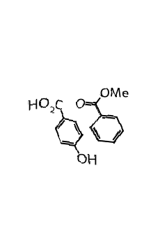 COC(=O)c1ccccc1.O=C(O)c1ccc(O)cc1